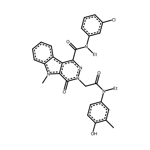 CCN(C(=O)Cn1nc(C(=O)N(CC)c2cccc(Cl)c2)c2c3ccccc3n(C)c2c1=O)c1ccc(O)c(C)c1